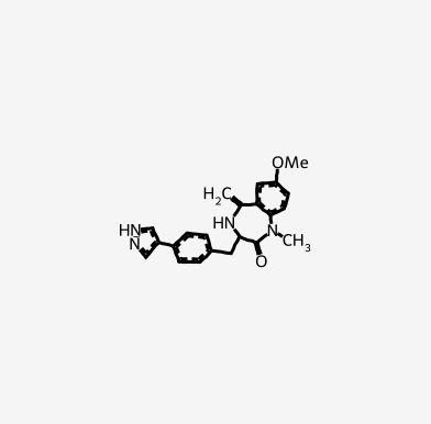 C=C1NC(Cc2ccc(-c3cn[nH]c3)cc2)C(=O)N(C)c2ccc(OC)cc21